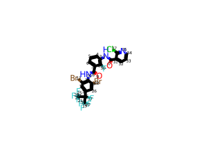 O=C(Nc1cccc(C(=O)Nc2c(Br)cc(C(F)(C(F)(F)F)C(F)(F)F)cc2Br)c1F)c1cccnc1Cl